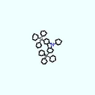 c1ccc(-n2c3ccc([Si](c4ccccc4)(c4ccccc4)c4ccccc4)cc3c3cc([Si](c4ccccc4)(c4ccccc4)c4ccccc4)ccc32)cc1